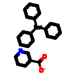 O=C([O-])c1cccnc1.c1cc[c]([Sn+]([c]2ccccc2)[c]2ccccc2)cc1